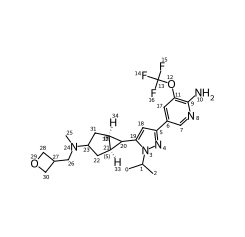 CC(C)n1nc(-c2cnc(N)c(OC(F)(F)F)c2)cc1C1[C@H]2CC(N(C)CC3COC3)C[C@@H]12